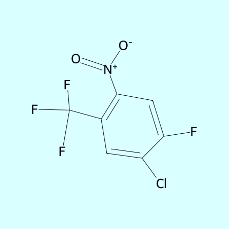 O=[N+]([O-])c1cc(F)c(Cl)cc1C(F)(F)F